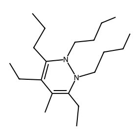 CCCCN1C(CC)=C(C)C(CC)=C(CCC)N1CCCC